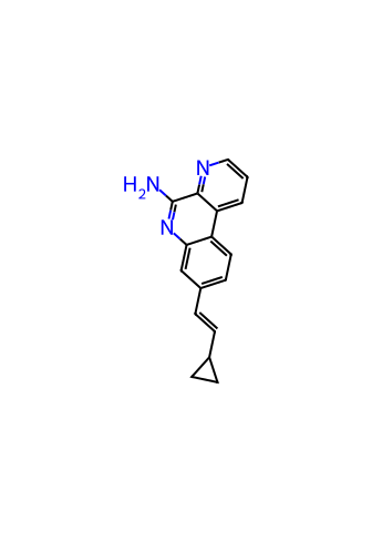 Nc1nc2cc(/C=C/C3CC3)ccc2c2cccnc12